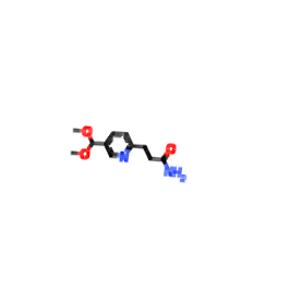 COC(OC)c1ccc(CCC(N)=O)nc1